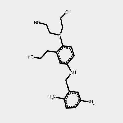 Nc1ccc(N)c(CNc2ccc(N(CCO)CCO)c(CCO)c2)c1